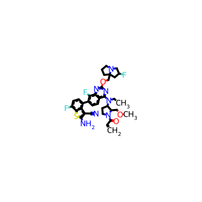 C=CC(=O)N1CCC(N(CC)c2nc(OCC34CCCN3CC(F)C4)nc3c(F)c(-c4ccc(F)c5sc(N)c(C#N)c45)ccc23)C1COC